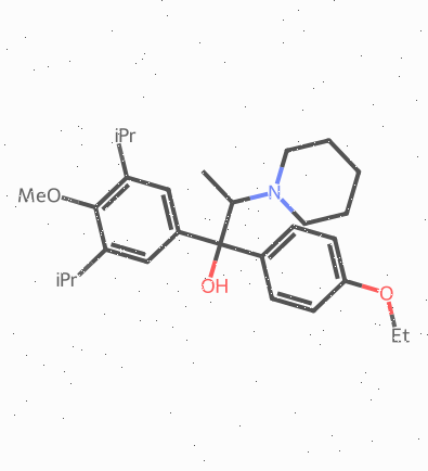 CCOc1ccc(C(O)(c2cc(C(C)C)c(OC)c(C(C)C)c2)C(C)N2CCCCC2)cc1